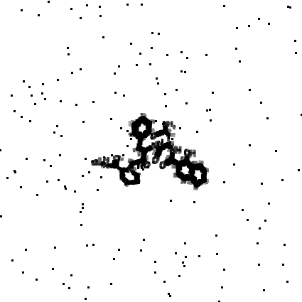 CC(C)(C)NC(=O)[C@@H]1CCCCN1CC(O)C(Cc1ccccc1)NC(=O)[C@H](CC(N)=O)NC(=O)c1ccc2ccccc2c1O